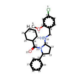 COc1cc(Cl)ccc1CNC1CCC(c2ccccc2)N1C(=O)C1CCCCC1